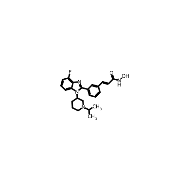 CC(C)N1CCCC(n2c(-c3cccc(/C=C/C(=O)NO)c3)nc3c(F)cccc32)C1